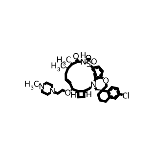 C[C@H]1C/C=C/[C@H](OCCN2CCN(C)CC2)[C@@H]2CC[C@H]2CN2C[C@@]3(CCCc4cc(Cl)ccc43)COc3ccc(cc32)S(=O)(=O)NC(=O)[C@@H]1C